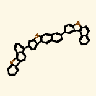 c1ccc2c(c1)ccc1sc3ccc(-c4ccc5cc6c(cc5c4)sc4cc(-c5cccc7c5ccc5c8ccccc8sc75)ccc46)cc3c12